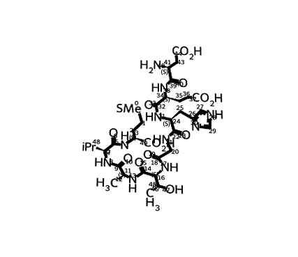 CSCC[C@H](NC(=O)[C@@H](NC(=O)[C@H](C)NC(=O)[C@@H](NC(=O)CNC(=O)[C@H](Cc1c[nH]cn1)NC(=O)[C@H](CCC(=O)O)NC(=O)[C@@H](N)CC(=O)O)[C@@H](C)O)C(C)C)C(=O)O